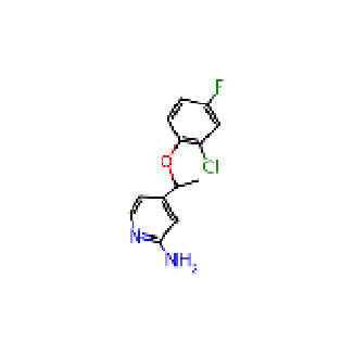 CC(Oc1ccc(F)cc1Cl)c1ccnc(N)c1